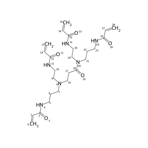 C=CC(=O)NCCCN(CCNC(=O)C=C)CCC(=O)N(CCCNC(=O)C=C)CCNC(=O)C=C